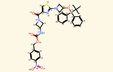 CC(C)(C)[Si](OC1CN(c2nc(C(=O)N3CC(NC(=O)OCc4ccc([N+](=O)[O-])cc4)C3)cs2)C1)(c1ccccc1)c1ccccc1